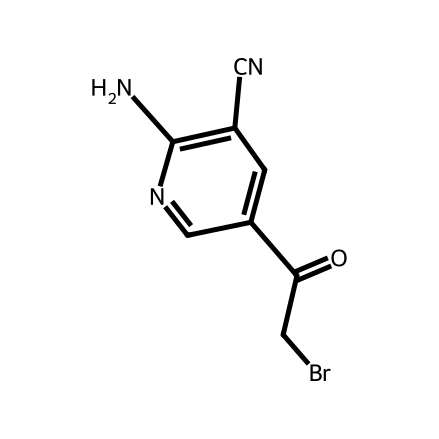 N#Cc1cc(C(=O)CBr)cnc1N